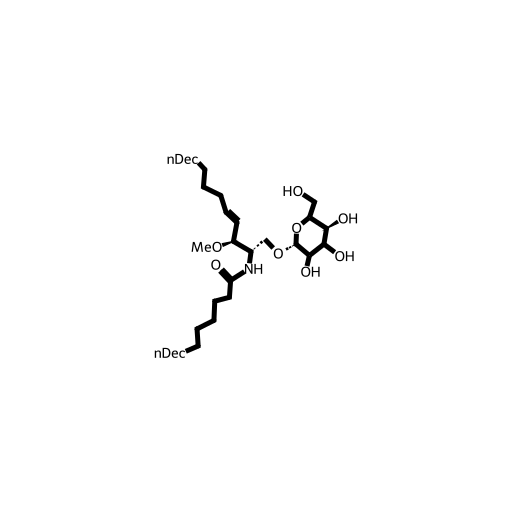 CCCCCCCCCCCCC/C=C/[C@H](OC)[C@H](CO[C@@H]1OC(CO)[C@@H](O)C(O)C1O)NC(=O)CCCCCCCCCCCCCCC